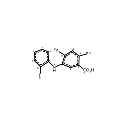 O=C(O)c1cc(Nc2ccccc2F)c(F)cc1F